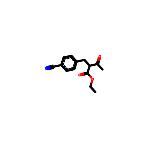 CCOC(=O)C(Cc1ccc(C#N)cc1)C(C)=O